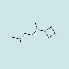 CC(O)CCN(C)C1CCC1